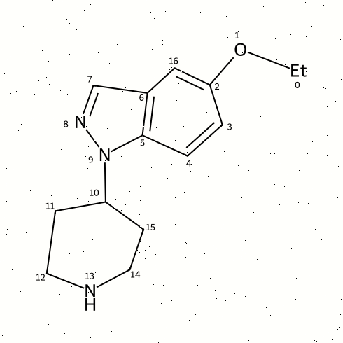 CCOc1ccc2c(cnn2C2CCNCC2)c1